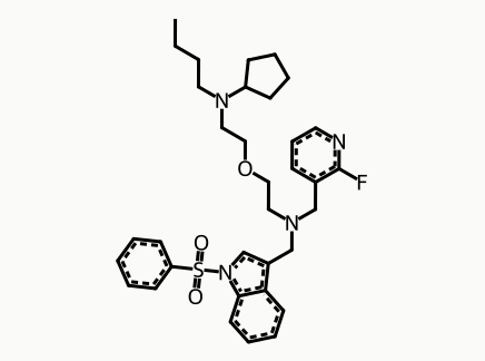 CCCCN(CCOCCN(Cc1cccnc1F)Cc1cn(S(=O)(=O)c2ccccc2)c2ccccc12)C1CCCC1